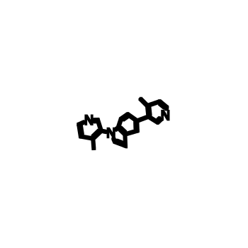 Cc1ccncc1-c1ccc2c(ccn2-c2cnccc2C)c1